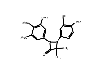 COc1ccc([C@@H]2N(c3cc(OC)c(OC)c(OC)c3)C(=O)C2(C)C)cc1O